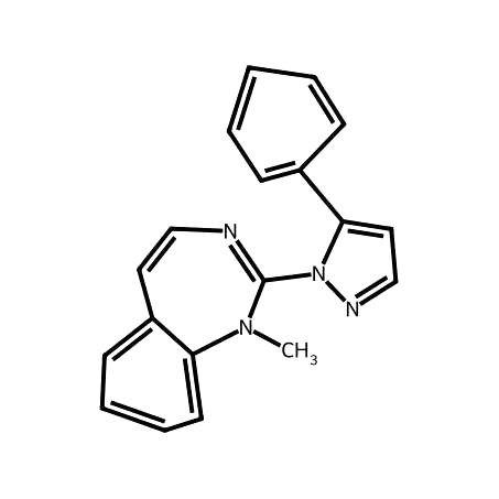 CN1C(n2nccc2-c2ccccc2)=NC=Cc2ccccc21